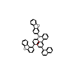 c1cc(-c2ccccc2N(c2ccc(-c3cccc4oc5ccccc5c34)cc2)c2ccc3c(c2)oc2ccccc23)cc(-c2cccc3ccccc23)c1